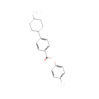 CCCCCCC1CCC(c2ccc(C(=O)Oc3ccc(C)cc3)cc2)CC1